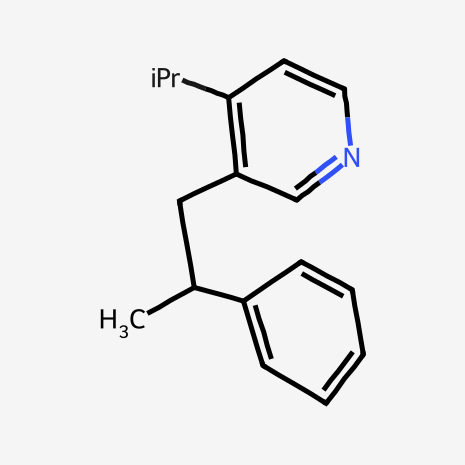 CC(C)c1ccncc1CC(C)c1ccccc1